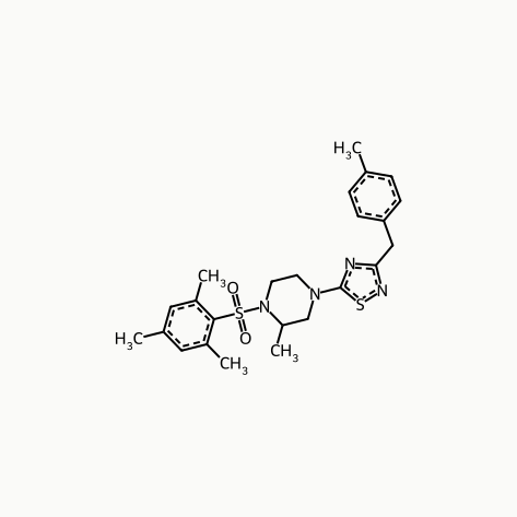 Cc1ccc(Cc2nsc(N3CCN(S(=O)(=O)c4c(C)cc(C)cc4C)C(C)C3)n2)cc1